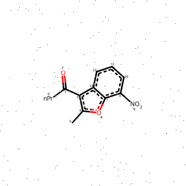 CCCC(=O)c1c(C)oc2c([N+](=O)[O-])cccc12